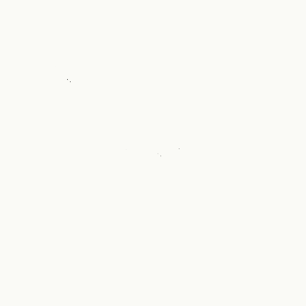 O=c1cc(OCc2ccccc2F)ccn1CCc1ccc(CN2CCCC2)cc1